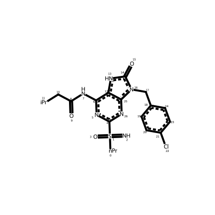 CCCS(=N)(=O)c1nc(NC(=O)CC(C)C)c2[nH]c(=O)n(Cc3ccc(Cl)cc3)c2n1